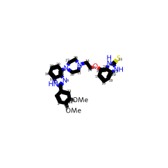 COc1ccc(-c2nc3c(N4CCN(CCOc5cccc6[nH]c(=S)[nH]c56)CC4)cccc3[nH]2)cc1OC